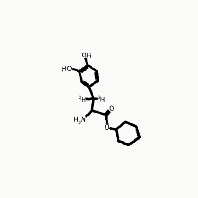 [2H]C([2H])(c1ccc(O)c(O)c1)C(N)C(=O)OC1CCCCC1